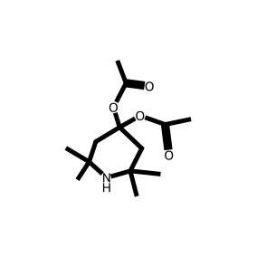 CC(=O)OC1(OC(C)=O)CC(C)(C)NC(C)(C)C1